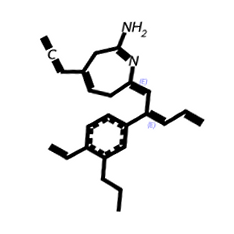 C=C=CC1=CC/C(=C\C(=C/C=C)c2ccc(C=C)c(CCC)c2)N=C(N)C1